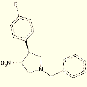 O=[N+]([O-])[C@H]1CN(Cc2ccccc2)C[C@@H]1c1ccc(F)cc1